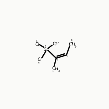 CC=C(C)[Si](Cl)(Cl)Cl